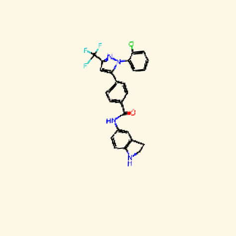 O=C(Nc1ccc2c(c1)CCN2)c1ccc(-c2cc(C(F)(F)F)nn2-c2ccccc2Cl)cc1